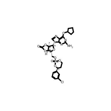 C[C@@]12OC(=O)O[C@@H]1[C@@H](CO[P@@]1(=O)OCC[C@@H](c3cccc(Cl)c3)O1)O[C@H]2n1cnc2c(OC3CCCC3)nc(N)nc21